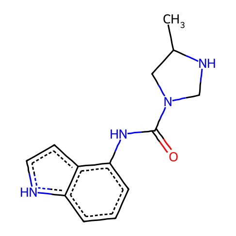 CC1CN(C(=O)Nc2cccc3[nH]ccc23)CN1